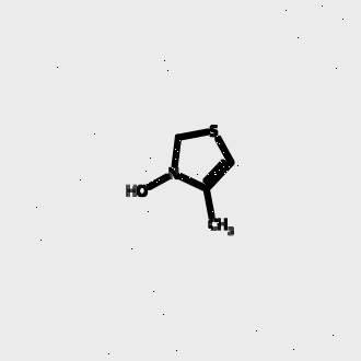 CC1=CSCN1O